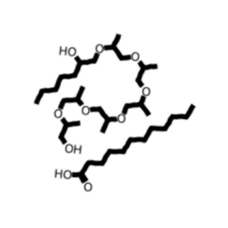 CCCCCC(O)COC(C)COC(C)COC(C)COC(C)COC(C)COC(C)CO.CCCCCCCCCCCC(=O)O